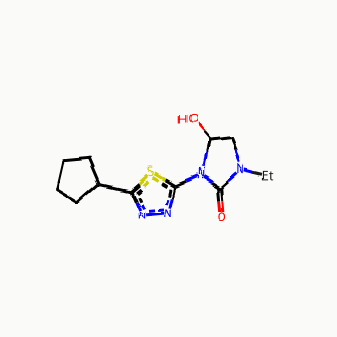 CCN1CC(O)N(c2nnc(C3CCCC3)s2)C1=O